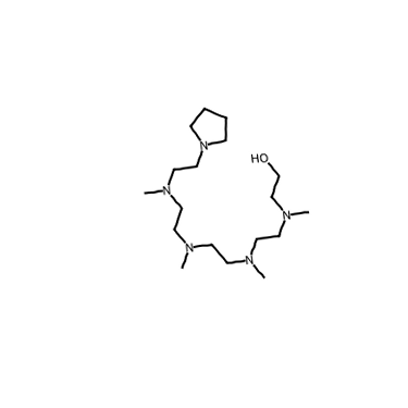 CN(CCO)CCN(C)CCN(C)CCN(C)CCN1CCCC1